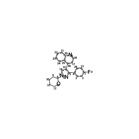 Fc1ccc(-c2nn(C3CCCCO3)cc2-c2ccnc3ccccc23)cc1